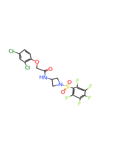 O=C(COc1ccc(Cl)cc1Cl)NC1CN(S(=O)(=O)c2c(F)c(F)c(F)c(F)c2F)C1